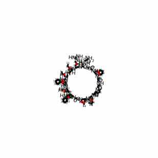 CCCC[C@H]1C(=O)N(C)[C@@H](CCCC)C(=O)N[C@@H](CCCNC(=N)N)C(=O)N[C@H](C(=O)NCC(N)=O)CSCC(=O)N[C@@H](Cc2ccccc2)C(=O)N(C)[C@@H](C)C(=O)N[C@@H](C)C(=O)N2CCCC2C(=O)N[C@@H](Cc2cnc[nH]2)C(=O)N[C@@H](CC(C)C)C(=O)N(C)CC(=O)N[C@@H](Cc2c[nH]c3ccccc23)C(=O)N[C@@H](CO)C(O)N[C@@H](Cc2c[nH]c3ccccc23)C(=O)N1C